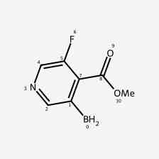 Bc1cncc(F)c1C(=O)OC